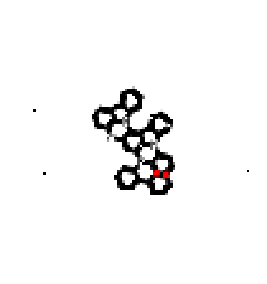 c1ccc(-c2ccccc2B2c3ccccc3-n3c4ccccc4c4c5c(cc2c43)Oc2cccc3c4ccccc4n-5c23)cc1